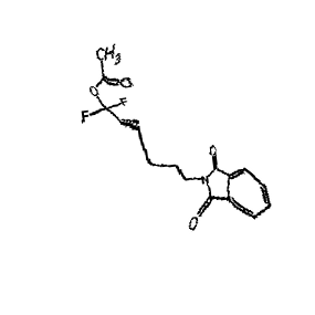 CC(=O)OC(F)(F)/C=C/CCCN1C(=O)c2ccccc2C1=O